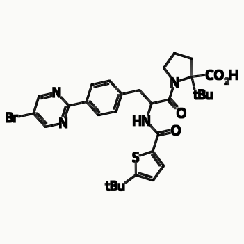 CC(C)(C)c1ccc(C(=O)NC(Cc2ccc(-c3ncc(Br)cn3)cc2)C(=O)N2CCCC2(C(=O)O)C(C)(C)C)s1